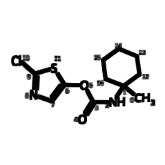 CC1(NC(=O)Oc2cnc(Cl)s2)CCCCC1